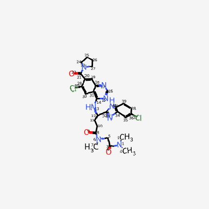 CN(C)C(=O)CN(C)C(=O)CCC(Nc1ncnc2cc(C(=O)N3CCCC3)c(Cl)cc12)c1nc2cc(Cl)ccc2[nH]1